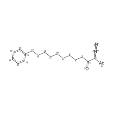 CC(=O)C(=[N+]=[N-])C(=O)CCCCCCCCCc1ccccc1